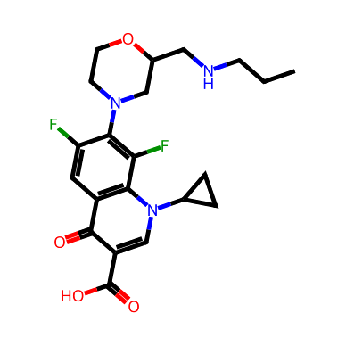 CCCNCC1CN(c2c(F)cc3c(=O)c(C(=O)O)cn(C4CC4)c3c2F)CCO1